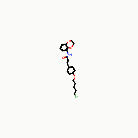 O=C(C=Cc1ccc(OCCCCCBr)cc1)Nc1cccc2c1OCCO2